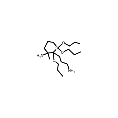 CCCOC1(CCCN)C(C)(N)CCC[Si]1(OCCC)OCCC